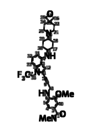 CNC(=O)c1ccc(NCC#Cc2cc3c(NC4CCC(N5CCC6(CC5)COC6)CC4)cccc3n2CC(F)(F)F)c(OC)c1